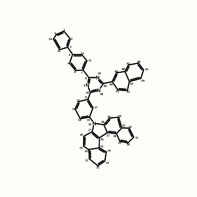 c1ccc(-c2ccc(-c3nc(-c4cccc(-n5c6ccc7ccccc7c6c6c7ccccc7ccc65)c4)nc(-c4ccc5ccccc5c4)n3)cc2)cc1